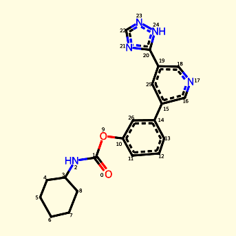 O=C(NC1CCCCC1)Oc1cccc(-c2cncc(-c3ncn[nH]3)c2)c1